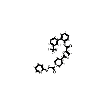 O=C(Nc1ccccc1-c1cccc(C(F)(F)F)c1)c1csc(C2CCN(C(=O)CSc3ccccn3)CC2)n1